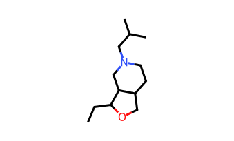 CCC1OCC2CCN(CC(C)C)CC21